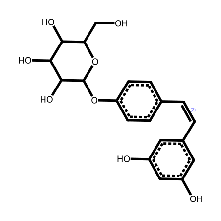 OCC1OC(Oc2ccc(/C=C\c3cc(O)cc(O)c3)cc2)C(O)C(O)C1O